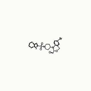 O=CC1OCc2cc(Br)ccc2N1C1CCN(S(=O)(=O)c2cc3ccccc3s2)CC1